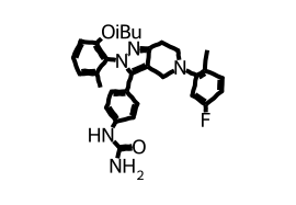 Cc1ccc(F)cc1N1CCc2nn(-c3c(C)cccc3OCC(C)C)c(-c3ccc(NC(N)=O)cc3)c2C1